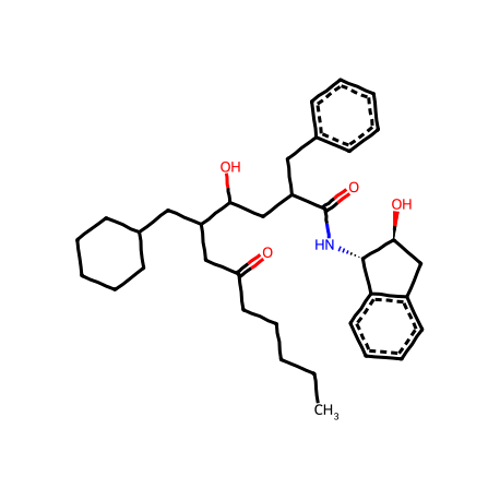 CCCCCC(=O)CC(CC1CCCCC1)C(O)CC(Cc1ccccc1)C(=O)N[C@H]1c2ccccc2C[C@@H]1O